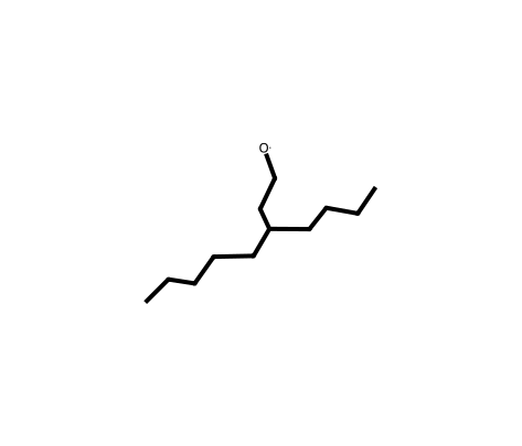 CCCCCC(CC[O])CCCC